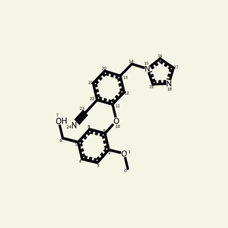 COc1ccc(CO)cc1Oc1cc(Cn2ccnc2)ccc1C#N